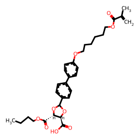 C=C(C)C(=O)OCCCCCCOc1ccc(-c2ccc(C3O[C@@H](C(=O)O)[C@H](C(=O)OCCCC)O3)cc2)cc1